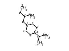 CCC(N)CN1CCN(C(C)N)CC1